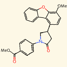 COC(=O)c1ccc(N2CC(c3ccc(OC)c4oc5ccccc5c34)CC2=O)cc1